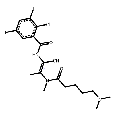 C/C(=C(/C#N)NC(=O)c1cc(I)cc(I)c1Cl)N(C)C(=O)CCCCN(C)C